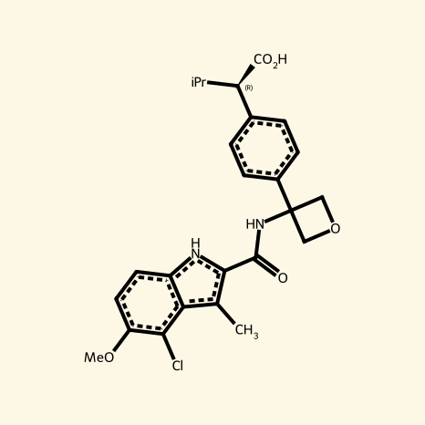 COc1ccc2[nH]c(C(=O)NC3(c4ccc([C@H](C(=O)O)C(C)C)cc4)COC3)c(C)c2c1Cl